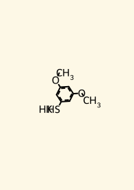 COc1cc(S)cc(OC)c1.[KH]